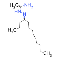 C=C(N)N/N=C(\CCC)CCCCCCCCC